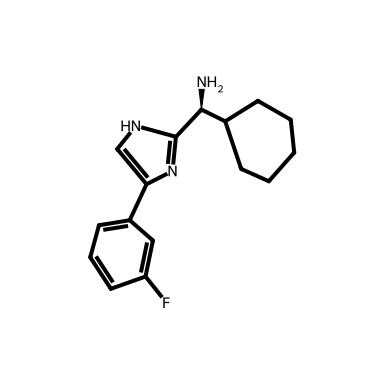 N[C@H](c1nc(-c2cccc(F)c2)c[nH]1)C1CCCCC1